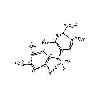 CS(=O)(=O)C(c1cc(O)c(S(=O)(=O)O)cc1O)c1cc(O)c(S(=O)(=O)O)cc1O